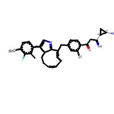 CCc1cc(C/C2=C\C/C=C\CCC3C(c4ccc(OC)c(F)c4C)=CN=C23)ccc1C(=O)CC(=N)[C@@H]1C[C@@H]1N